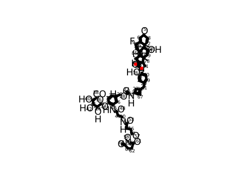 C[C@]12C=CC(=O)C=C1[C@@H](F)C[C@H]1[C@@H]3C[C@H]4CN(c5ccc(CC67CC(NC(=O)OCc8ccc(O[C@@H]9O[C@H](C(=O)O)[C@@H](O)[C@H](O)[C@H]9O)c(NC(=O)CCNC(=O)CCC(=O)ON9C(=O)CCC9=O)c8)(C6)C7)cc5)C[C@@]4(C(=O)CO)[C@@]3(C)C[C@H](O)[C@@]12F